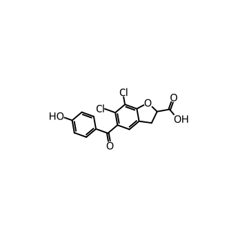 O=C(c1ccc(O)cc1)c1cc2c(c(Cl)c1Cl)OC(C(=O)O)C2